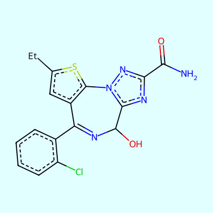 CCc1cc2c(s1)-n1nc(C(N)=O)nc1C(O)N=C2c1ccccc1Cl